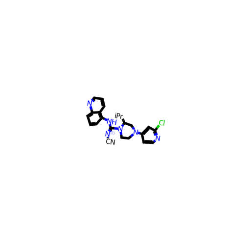 CC(C)C1CN(c2ccnc(Cl)c2)CCN1/C(=N\C#N)Nc1cccc2ncccc12